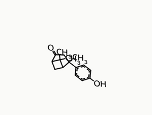 CC1(c2ccc(O)cc2)CC(=O)C2CC1C2(C)C